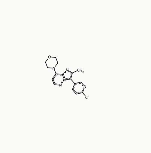 Cc1nc2c(N3CCOCC3)ccnn2c1-c1ccc(Cl)nc1